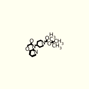 CC(C)(C)OC(=O)N1CCC(N2C(=O)COc3cccnc32)CC1